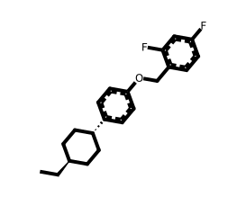 CC[C@H]1CC[C@H](c2ccc(OCc3ccc(F)cc3F)cc2)CC1